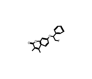 Cc1c(C)c2ccc(OC(CF)c3ccccc3)cc2oc1=O